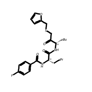 CCCC[C@H](NC(=O)[C@H](CC(C)C)NC(=O)c1ccc(F)cc1)C(=O)CSCc1ccco1